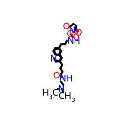 CCN(CC)CCNC(=O)CCCc1cnc2ccc(CCCNC(=O)ON3C(=O)CCC3=O)cc2c1